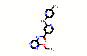 O=C(Nc1cncnc1OCC(F)(F)F)c1ccnc(Nc2ccc(C(F)(F)F)cn2)c1